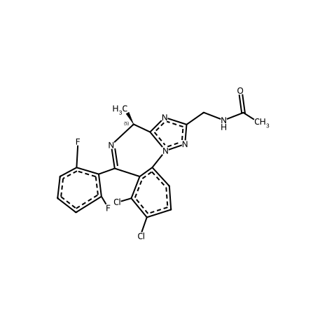 CC(=O)NCc1nc2n(n1)-c1ccc(Cl)c(Cl)c1C(c1c(F)cccc1F)=N[C@H]2C